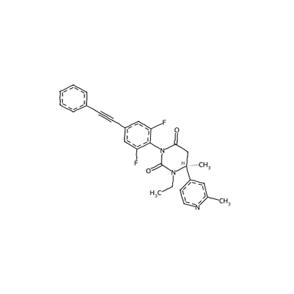 CCN1C(=O)N(c2c(F)cc(C#Cc3ccccc3)cc2F)C(=O)C[C@@]1(C)c1ccnc(C)c1